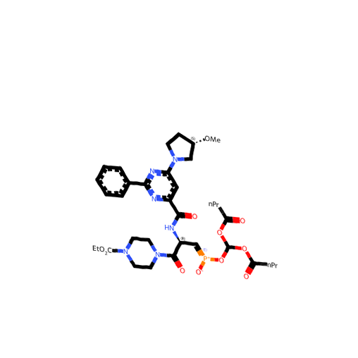 CCCC(=O)OC(OC(=O)CCC)O/[P+]([O-])=C/[C@H](NC(=O)c1cc(N2CC[C@H](OC)C2)nc(-c2ccccc2)n1)C(=O)N1CCN(C(=O)OCC)CC1